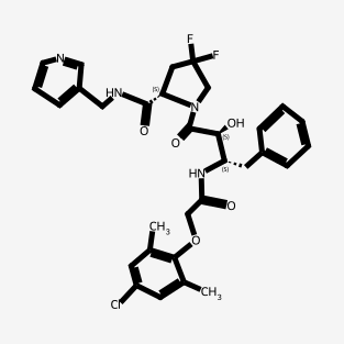 Cc1cc(Cl)cc(C)c1OCC(=O)N[C@@H](Cc1ccccc1)[C@H](O)C(=O)N1CC(F)(F)C[C@H]1C(=O)NCc1cccnc1